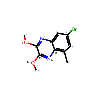 COc1nc2cc(Br)cc(C)c2nc1OC